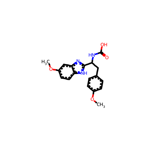 COc1ccc(CC(NC(=O)O)c2nc3cc(OC)ccc3[nH]2)cc1